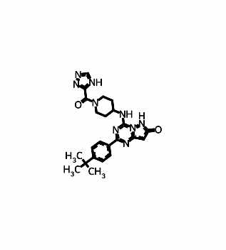 CC(C)(C)c1ccc(-c2nc(NC3CCN(C(=O)c4nnc[nH]4)CC3)n3[nH]c(=O)cc3n2)cc1